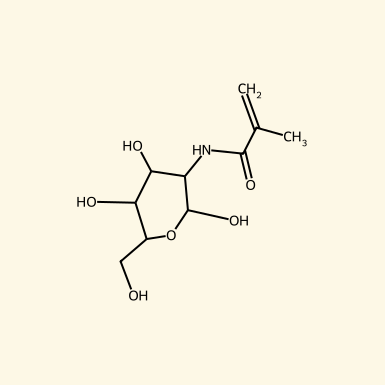 C=C(C)C(=O)NC1C(O)OC(CO)C(O)C1O